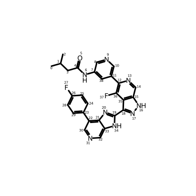 CC(C)CC(=O)Nc1cncc(-c2ncc3[nH]nc(-c4nc5c(-c6ccc(F)cc6)cncc5[nH]4)c3c2F)c1